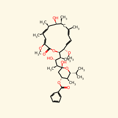 CO/C1=C\C(C)=C\[C@@H](C)[C@@H](O)[C@@H](C)C/C(C)=C/C=C/[C@H](OC)[C@@H]([C@@H](C)[C@@H](O)[C@H](C)[C@@]2(O)C[C@@H](OC(=O)c3ccccc3)[C@H](C)[C@@H](C(C)C)O2)OC1=O